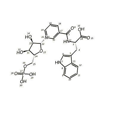 O=C(N[C@@H](Cc1c[nH]c2ccccc12)C(=O)O)c1ccc[n+]([C@@H]2O[C@H](COP(=O)(O)O)[C@@H](O)[C@H]2O)c1